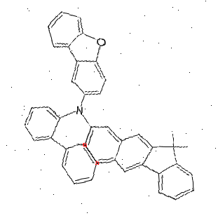 CC1(C)c2ccccc2-c2cc3ccc(N(c4ccc5oc6ccccc6c5c4)c4ccccc4-c4ccccc4)cc3cc21